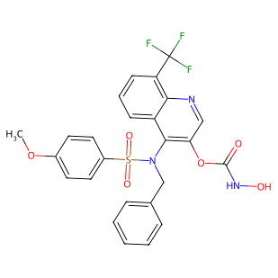 COc1ccc(S(=O)(=O)N(Cc2ccccc2)c2c(OC(=O)NO)cnc3c(C(F)(F)F)cccc23)cc1